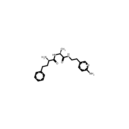 C[C@H](NC(=O)[C@H](N)CCc1ccccc1)C(=O)NCCc1ccc(N)nc1